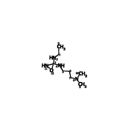 CCNC1(NCCCN(C)C)NO1